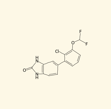 O=c1[nH]c2ccc(-c3cccc(OC(F)F)c3Cl)cc2[nH]1